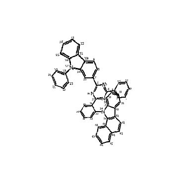 c1ccc(-c2nc(-c3ccc4c5ccccc5n(-c5ccccc5)c4c3)nc(-c3ccccc3-n3c4ccccc4c4ccc5ccccc5c43)n2)cc1